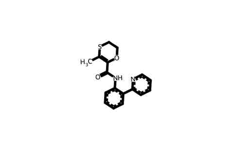 CC1=C(C(=O)Nc2ccccc2-c2ccccn2)OCCS1